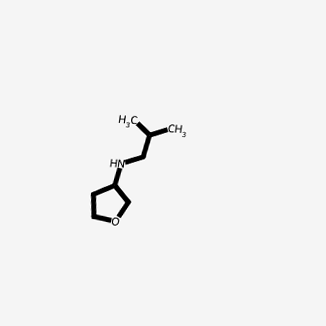 CC(C)CNC1CCOC1